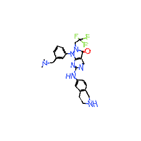 CN(C)Cc1cccc(-n2c3nc(Nc4ccc5c(c4)CCNC5)ncc3c(=O)n2CC(F)(F)F)c1